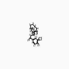 CCC(=O)N1C2CCC1CN(CCC(C)c1ccc(C)c(Cl)c1)CC2